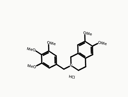 COc1cc2c(cc1OC)CN(Cc1cc(OC)c(OC)c(OC)c1)CC2.Cl